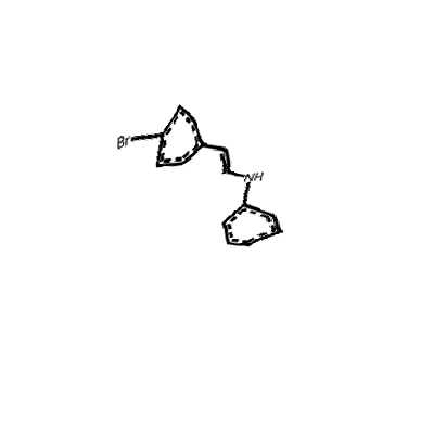 Brc1ccc(C=CNc2ccccc2)cc1